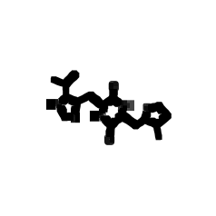 C=C(C)c1[nH]cnc1/C=c1\[nH]c(=O)/c(=C/c2sccc2C)[nH]c1=O